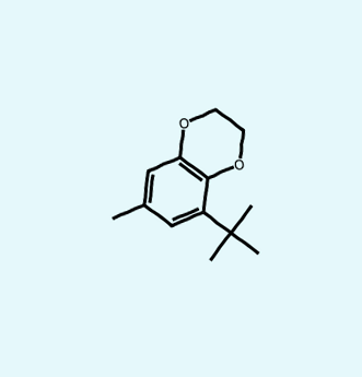 Cc1cc2c(c(C(C)(C)C)c1)OCCO2